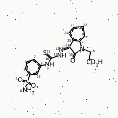 NS(=O)(=O)c1cccc(NC(=S)N/N=C2\C(=O)N(CC(=O)O)c3ccccc32)c1